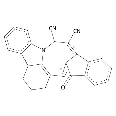 CC12CCCC3=C1N(c1ccccc12)C(C#N)/C(C#N)=C1\C(=C\3)C(=O)c2ccccc21